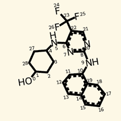 OC1CCC(Nc2nc(Nc3cccc4ccccc34)ncc2C(F)(F)F)CC1